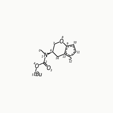 CN(C(=O)OC(C)(C)C)[C@H]1COc2ccsc2C1